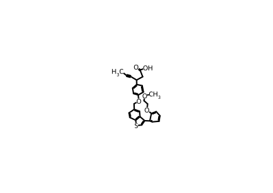 CC#CC(CC(=O)O)c1ccc(OCc2ccc3scc(-c4ccccc4OCCOC)c3c2)cc1